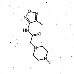 Cc1nonc1NC(=O)CN1CCN(C)CC1